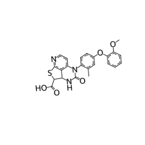 COc1ccccc1Oc1ccc(N2C(=O)NC3c4c2ccnc4SC3C(=O)O)c(C)c1